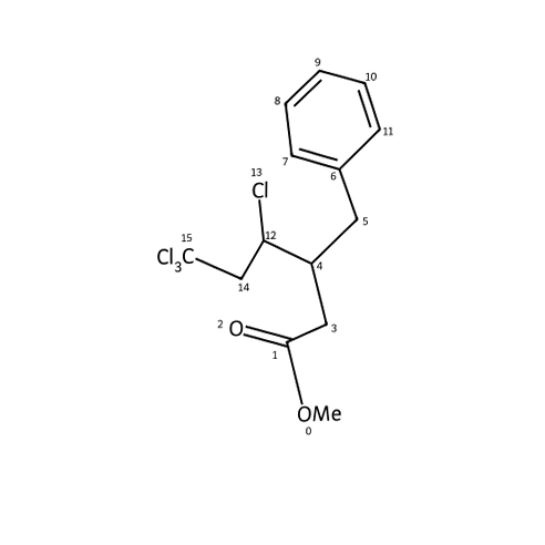 COC(=O)CC(Cc1ccccc1)C(Cl)CC(Cl)(Cl)Cl